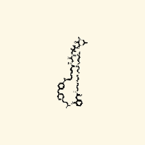 CNCCCOCCOCCOCCCNC(=O)Cc1ccccc1SS[C@@H](C)CCN1CCN(Cc2ccc([C@H]3O[C@@H]3[C@@H](C)CC/C=C/C(=O)NCC(=O)NCC(C)(C)C(=O)N[C@@H](CC(C)C)C(=O)OC)cc2)CC1